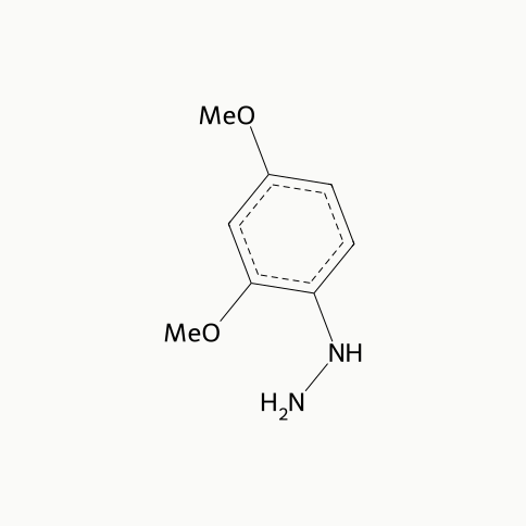 COc1ccc(NN)c(OC)c1